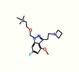 COc1cc(F)cc2c1c(CCN1CCC1)nn2COCC[Si](C)(C)C